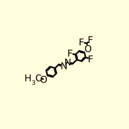 COc1ccc(C=NN=Cc2cc(F)c(OC(F)F)cc2F)cc1